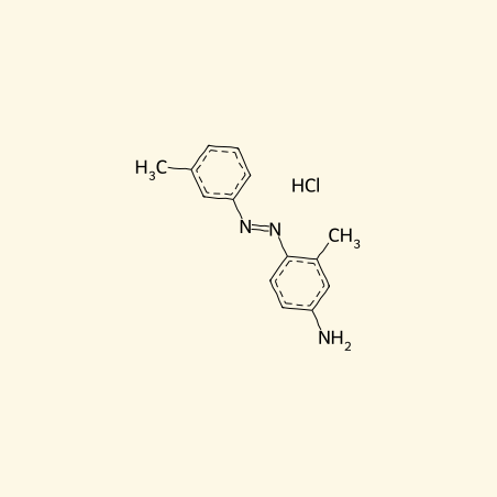 Cc1cccc(/N=N/c2ccc(N)cc2C)c1.Cl